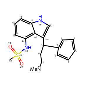 CNCCC(c1ccccc1)c1c[nH]c2cccc(NS(C)(=O)=O)c12